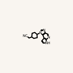 N#CCC1CCC(n2cnc3cnc4[nH]ccc4c32)CC1